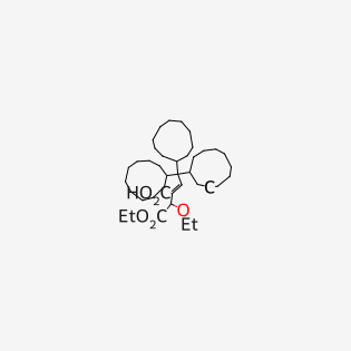 CCOC(=O)C(OCC)C(=CC(C1CCCCCCCCC1)(C1CCCCCCCCC1)C1CCCCCCCCC1)C(=O)O